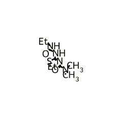 CCNC(=O)NC(=NC(=O)N(C)C)SCC